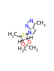 C=C[C@H]1S[C@@H](n2ccc3c(C)ncnc32)[C@@H]2OC(C)(C)O[C@@H]21